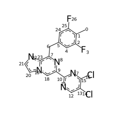 Cc1c(F)cc(Cc2nc(-c3ncc(Cl)c(Cl)n3)cn3ccnc23)cc1F